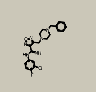 N=C(Nc1ccc(F)c(Cl)c1)c1nonc1CN1CCN(Cc2ccccc2)CC1